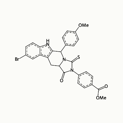 COC(=O)c1ccc(N2C(=O)C3Cc4c([nH]c5ccc(Br)cc45)C(c4ccc(OC)cc4)N3C2=S)cc1